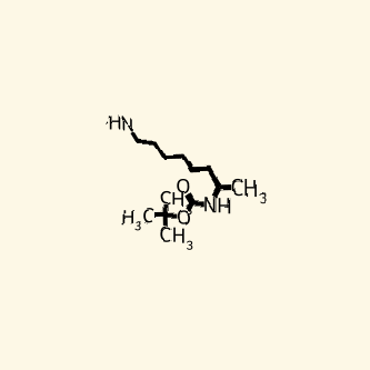 CC(CCCCCC[NH])NC(=O)OC(C)(C)C